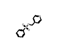 O=S(=O)(OCc1ccncc1)c1ccccc1